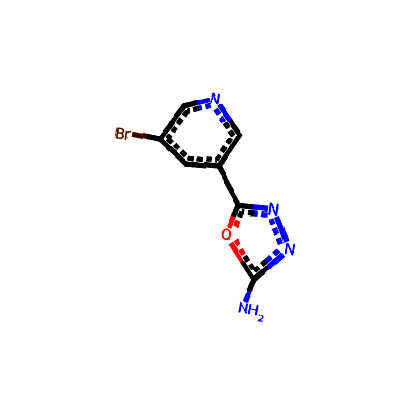 Nc1nnc(-c2cncc(Br)c2)o1